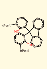 CCCCCc1cccc(C2(c3cccc(CCCCC)c3O)c3ccccc3-c3ccccc32)c1O